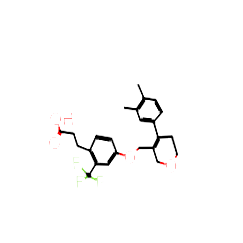 Cc1ccc(C2=C(COc3ccc(CCC(=O)O)c(C(F)(F)F)c3)COCC2)cc1C